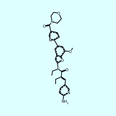 CC/C(=C\c1ccc(N)nc1)C(=O)N(CC)c1cc2cc(-c3ccc(C(=O)N4CCOCC4)cn3)cc(OC)c2o1